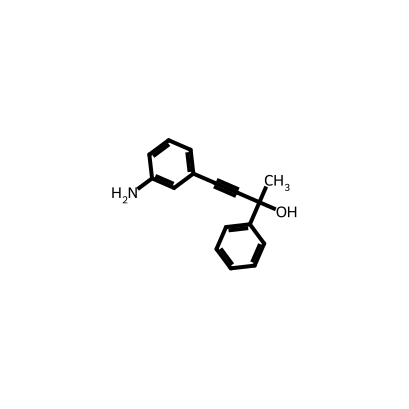 CC(O)(C#Cc1cccc(N)c1)c1ccccc1